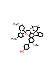 COc1ccc(C2(c3ccc(OC)cc3)C=Cc3c4c(c5cc(SC)c(-c6ccc(O)cc6)cc5c3O2)-c2ccccc2C42CC(C)(C)CC(C)(C)C2)cc1